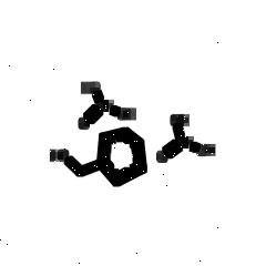 O=[PH](O)O.O=[PH](O)O.OCc1ccccc1